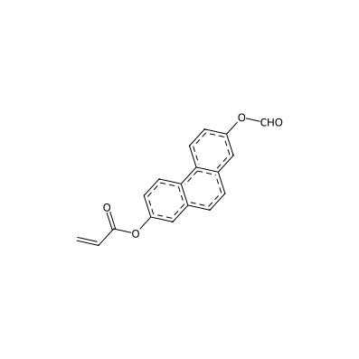 C=CC(=O)Oc1ccc2c(ccc3cc(OC=O)ccc32)c1